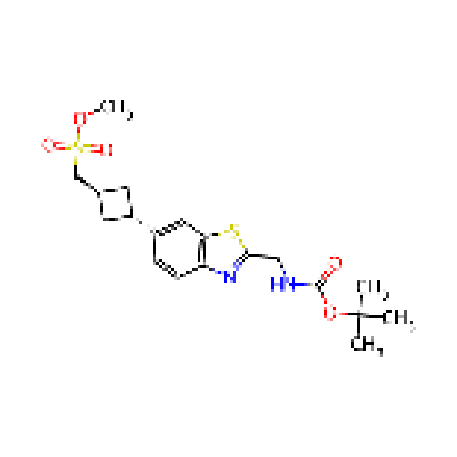 COS(=O)(=O)C[C@H]1C[C@H](c2ccc3nc(CNC(=O)OC(C)(C)C)sc3c2)C1